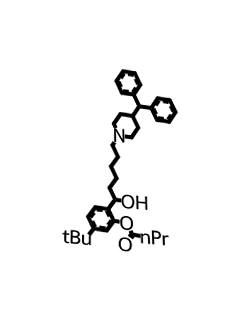 CCCC(=O)Oc1cc(C(C)(C)C)ccc1C(O)CCCCCN1CCC(C(c2ccccc2)c2ccccc2)CC1